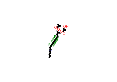 C=C(C)C(=O)OCC(CCC(F)(F)C(F)(F)C(F)(F)C(F)(F)C(F)(F)C(F)(F)C/C=C/CCCC)COC(=O)C(=C)CO